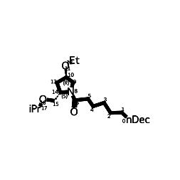 CCCCCCCCCCCCCCCC(=O)N1C[C@H](OCC)C[C@H]1COC(C)C